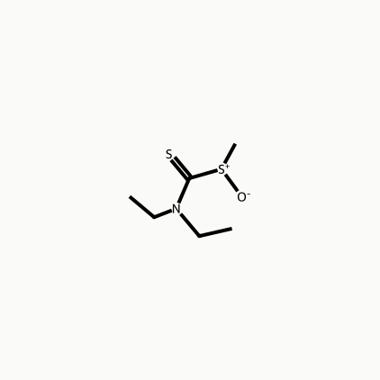 CCN(CC)C(=S)[S+](C)[O-]